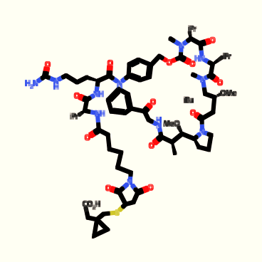 CC[C@H](C)C([C@@H](CC(=O)N1CCC[C@H]1[C@H](OC)[C@@H](C)C(=O)NCC(=O)c1ccccc1)OC)N(C)C(=O)[C@@H](NC(=O)[C@H](C(C)C)N(C)C(=O)OCc1ccc(NC(=O)[C@H](CCCNC(N)=O)NC(=O)[C@@H](NC(=O)CCCCCN2C(=O)CC(SCC3(CC(=O)O)CC3)C2=O)C(C)C)cc1)C(C)C